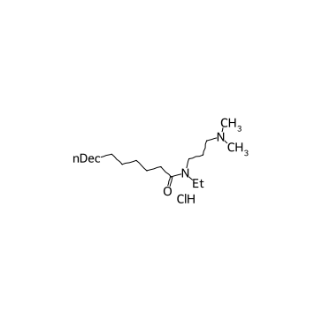 CCCCCCCCCCCCCCCC(=O)N(CC)CCCN(C)C.Cl